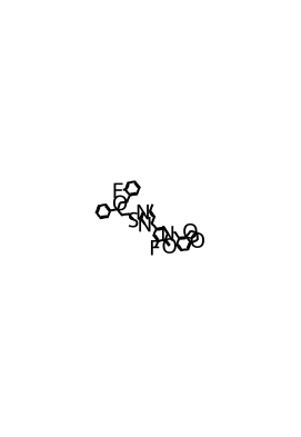 Cc1cc(-c2cc(F)c(=O)n(Cc3cccc4c3OCO4)c2)nc(SCCC(OCc2ccccc2F)c2ccccc2)n1